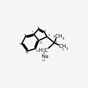 CC(C)(C)C1C=Cc2ccccc21.[Na]